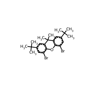 CC(C)(C)c1cc(Br)c2c(c1)C(C)(C)c1cc(C(C)(C)C)cc(Br)c1O2